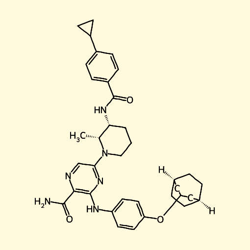 C[C@@H]1[C@H](NC(=O)c2ccc(C3CC3)cc2)CCCN1c1cnc(C(N)=O)c(Nc2ccc(OC3C[C@H]4CC[C@H](CC4)C3)cc2)n1